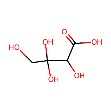 O=C(O)C(O)C(O)(O)CO